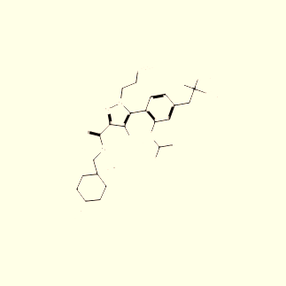 COCCn1nc(C(=O)NC[C@]2(O)CC[C@@H](C)CC2)c(C)c1-c1ccc(CC(C)(C)C(F)(F)F)cc1OC(F)F